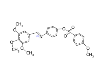 COc1ccc(S(=O)(=O)Oc2ccc(/N=C/c3cc(OC)c(OC)c(OC)c3)cc2)cc1